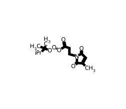 CC1=CC(=O)N(CCC(=O)OOOC(C)(C)C(C)C)C1=O